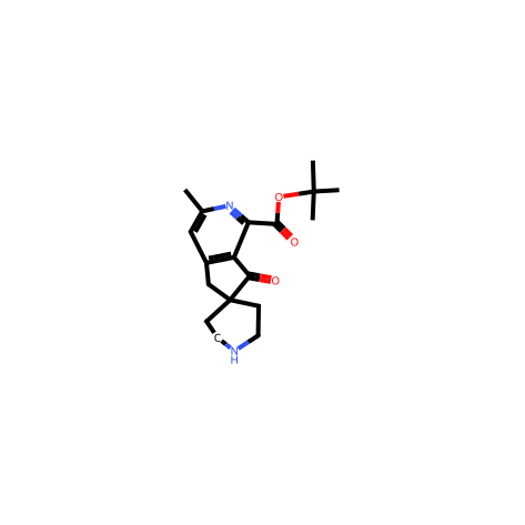 Cc1cc2c(c(C(=O)OC(C)(C)C)n1)C(=O)C1(CCNCC1)C2